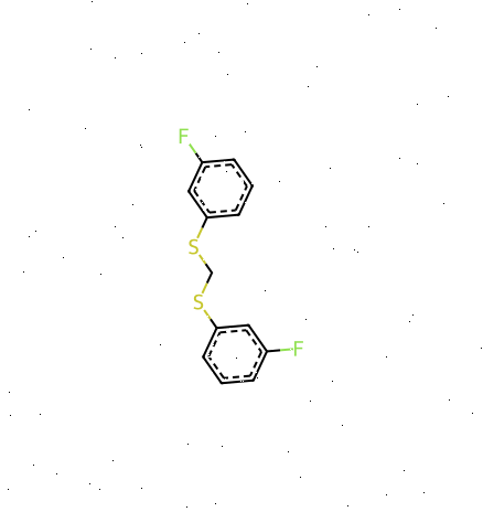 Fc1cccc(SCSc2cccc(F)c2)c1